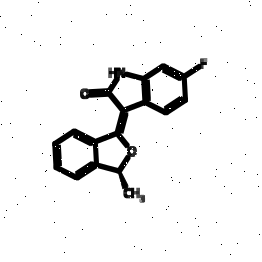 C[C@@H]1O/C(=C2/C(=O)Nc3cc(F)ccc32)c2ccccc21